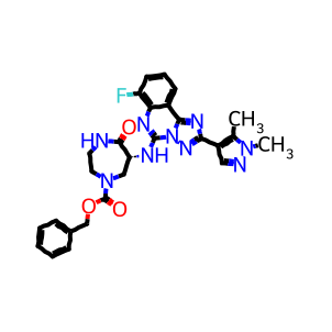 Cc1c(-c2nc3c4cccc(F)c4nc(N[C@@H]4CN(C(=O)OCc5ccccc5)CCNC4=O)n3n2)cnn1C